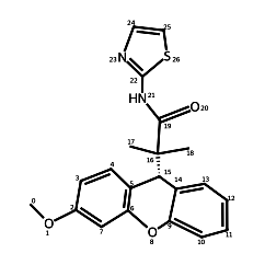 COc1ccc2c(c1)Oc1ccccc1[C@H]2C(C)(C)C(=O)Nc1nccs1